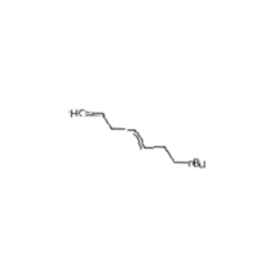 [CH]=CCC=CCCCCCC